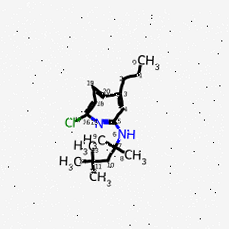 CCCC1=C/C(NC(C)(C)CC(C)(C)C)=N\C(Cl)=C\C=C\1